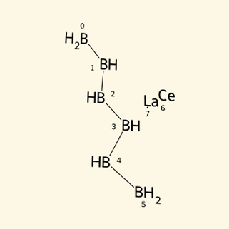 BBBBBB.[Ce].[La]